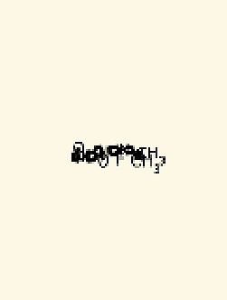 CN(C)[C@@H]1CCN(c2ccc(N3CCc4cc(N5CCCC5=O)ccc4C3=O)cc2F)C1